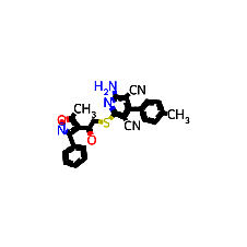 Cc1ccc(-c2c(C#N)c(N)nc(SCC(=O)c3c(-c4ccccc4)noc3C)c2C#N)cc1